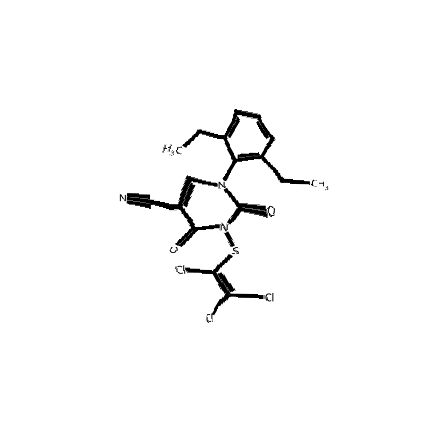 CCc1cccc(CC)c1-n1cc(C#N)c(=O)n(SC(Cl)=C(Cl)Cl)c1=O